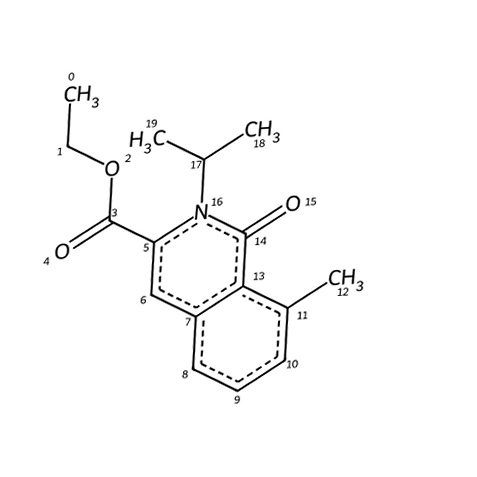 CCOC(=O)c1cc2cccc(C)c2c(=O)n1C(C)C